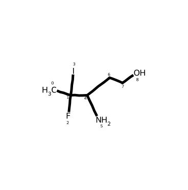 CC(F)(I)C(N)CCO